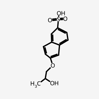 CC(O)COc1ccc2cc(S(=O)(=O)O)ccc2c1